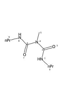 CCCNC(=O)N(C)C(=O)NCCC